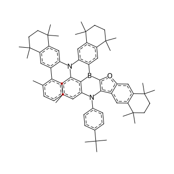 Cc1cc2c3c(c1)N(c1ccc(C(C)(C)C)cc1)c1c(oc4cc5c(cc14)C(C)(C)CCC5(C)C)B3c1cc3c(cc1N2c1cc2c(cc1-c1ccccc1C)C(C)(C)CCC2(C)C)C(C)(C)CCC3(C)C